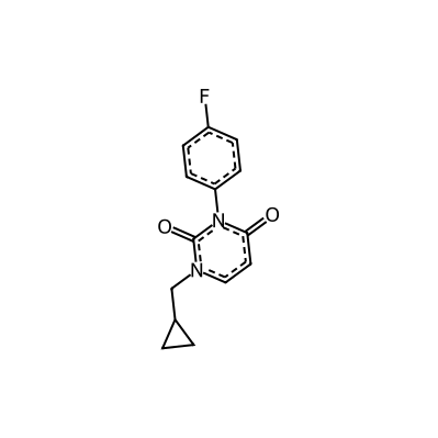 O=c1ccn(CC2CC2)c(=O)n1-c1ccc(F)cc1